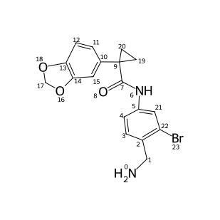 NCc1ccc(NC(=O)C2(c3ccc4c(c3)OCO4)CC2)cc1Br